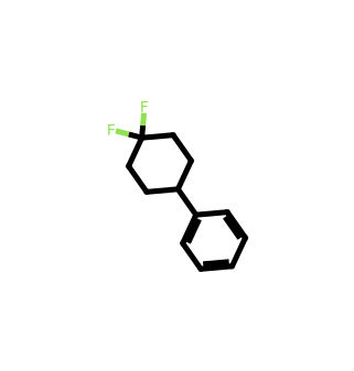 FC1(F)CCC(c2ccccc2)CC1